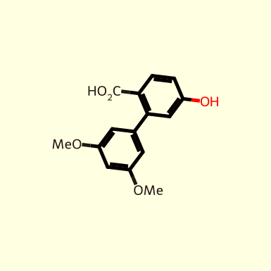 COc1cc(OC)cc(-c2cc(O)ccc2C(=O)O)c1